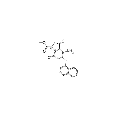 COC(=O)[C@H]1CC(=S)c2c(N)c(Cc3cccc4ccccc34)cc(=O)n21